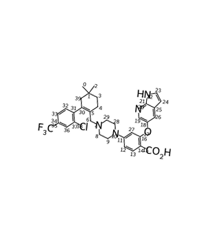 CC1(C)CCC(CN2CCN(c3ccc(C(=O)O)c(Oc4cnc5[nH]ccc5c4)c3)CC2)=C(c2ccc(C(F)(F)F)cc2Cl)C1